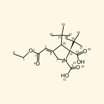 CCOC(=O)C=C1CN(C(=O)O)[C@](C(=O)O)(C(C)(C)C)C1C(C)(C)C